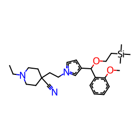 CCN1CCC(C#N)(CCn2ccc(C(OCC[Si](C)(C)C)c3ccccc3OC)c2)CC1